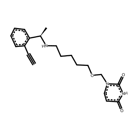 C#Cc1ccccc1[C@@H](C)NCCCCCOCn1ccc(=O)[nH]c1=O